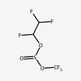 O=S(OC(F)C(F)F)OC(F)(F)F